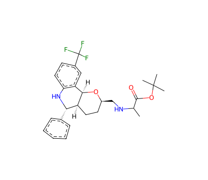 CC(NC[C@H]1CC[C@@H]2[C@H](O1)c1cc(C(F)(F)F)ccc1N[C@H]2c1ccccc1)C(=O)OC(C)(C)C